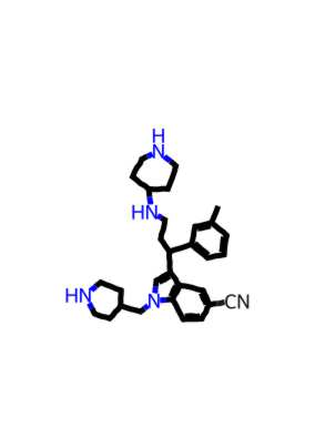 Cc1cccc(C(CCNC2CCNCC2)c2cn(CC3CCNCC3)c3ccc(C#N)cc23)c1